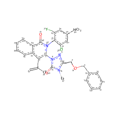 C=C(c1c(-n2nc(COCc3ccccc3)n(CC)c2=O)n(-c2c(F)cc([N+](=O)[O-])cc2Cl)c(=O)c2ccccc12)C(F)(F)F